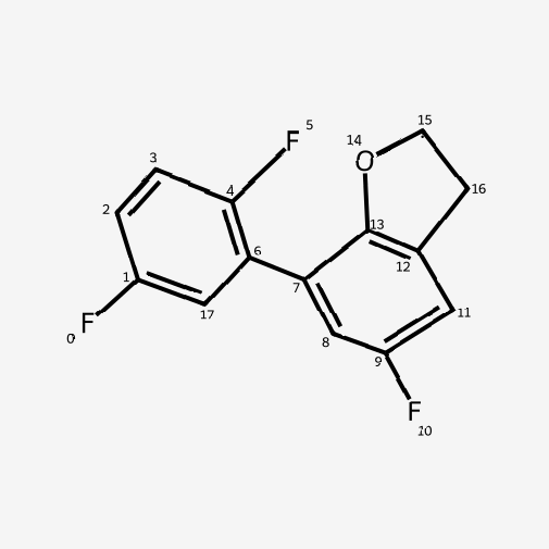 Fc1ccc(F)c(-c2cc(F)cc3c2O[CH]C3)c1